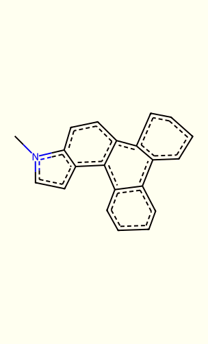 Cn1ccc2c3c4ccccc4c4ccccc4c3ccc21